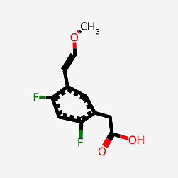 COC=Cc1cc(CC(=O)O)c(F)cc1F